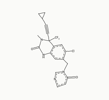 CN1C(=O)Nc2cc(Cn3cnccc3=O)c(Cl)cc2C1(C#CC1CC1)C(F)(F)F